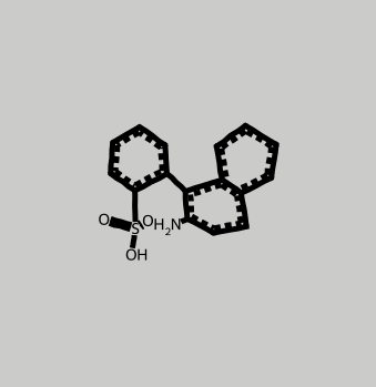 Nc1ccc2ccccc2c1-c1ccccc1S(=O)(=O)O